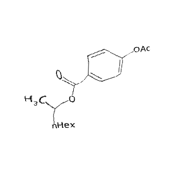 CCCCCCC(C)OC(=O)c1ccc(OC(C)=O)cc1